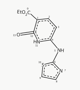 CCOC(=O)c1ccc(Nc2nccs2)[nH]c1=O